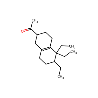 CCC1CCC2=C(CCC(C(C)=O)C2)C1(CC)CC